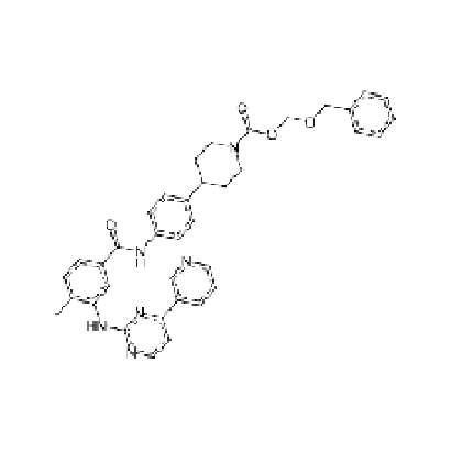 Cc1ccc(C(=O)Nc2ccc(C3CCN(C(=O)OCOCc4ccccc4)CC3)cc2)cc1Nc1nccc(-c2cccnc2)n1